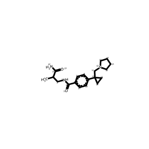 C[C](CNC(=O)c1ccc(C2(CN3CCCC3)CC2)cc1)C(N)=O